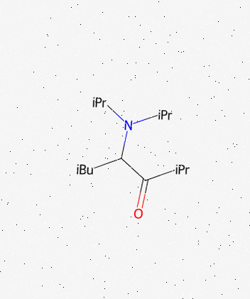 CCC(C)C(C(=O)C(C)C)N(C(C)C)C(C)C